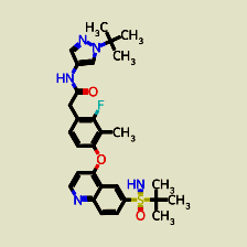 Cc1c(Oc2ccnc3ccc(S(=N)(=O)C(C)(C)C)cc23)ccc(CC(=O)Nc2cnn(C(C)(C)C)c2)c1F